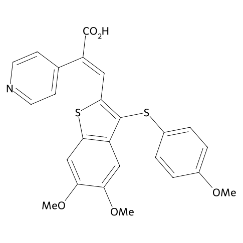 COc1ccc(Sc2c(/C=C(/C(=O)O)c3ccncc3)sc3cc(OC)c(OC)cc23)cc1